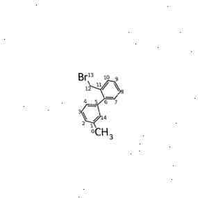 Cc1cccc(-c2ccccc2CBr)c1